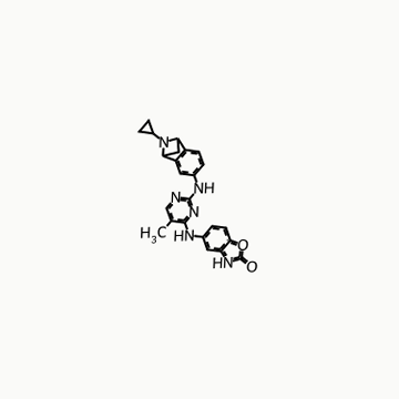 Cc1cnc(Nc2ccc3c(c2)C2CC3N2C2CC2)nc1Nc1ccc2oc(=O)[nH]c2c1